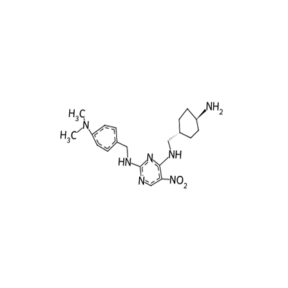 CN(C)c1ccc(CNc2ncc([N+](=O)[O-])c(NC[C@H]3CC[C@H](N)CC3)n2)cc1